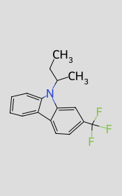 CCC(C)n1c2ccccc2c2ccc(C(F)(F)F)cc21